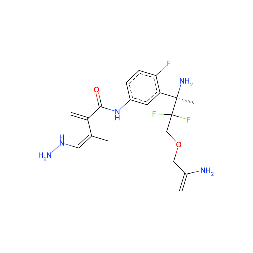 C=C(N)COCC(F)(F)[C@](C)(N)c1cc(NC(=O)C(=C)/C(C)=C\NN)ccc1F